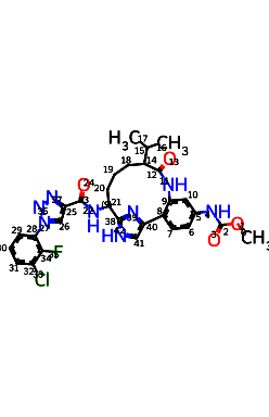 COC(=O)Nc1ccc2c(c1)NC(=O)C(C(C)C)CCC[C@H](NC(=O)c1cn(-c3cccc(Cl)c3F)nn1)c1nc-2c[nH]1